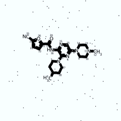 CC1CCN(c2nc(N3CCN(C)CC3)cnc2NC(=O)c2ccc(C#N)o2)CC1